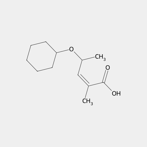 CC(=CC(C)OC1CCCCC1)C(=O)O